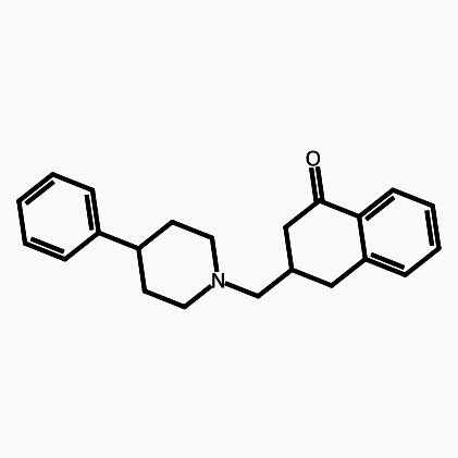 O=C1CC(CN2CCC(c3ccccc3)CC2)Cc2ccccc21